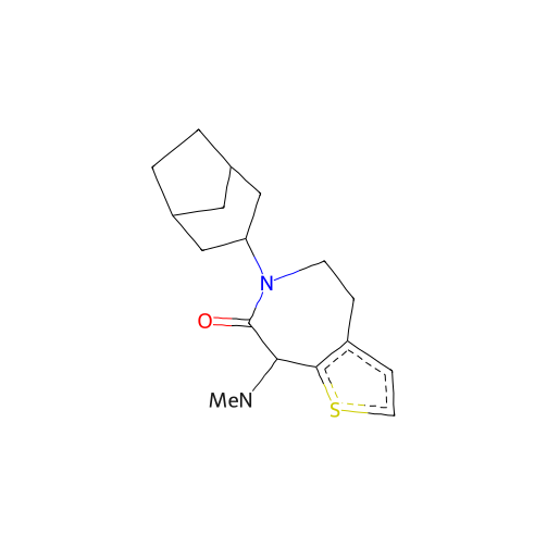 CNC1C(=O)N(C2CC3CCC(C3)C2)CCc2ccsc21